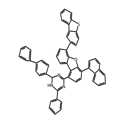 c1ccc(C2=NC(c3ccc(-c4cccc5ccccc45)c4oc5c(-c6ccc7sc8ccccc8c7c6)cccc5c34)=NC(c3ccc(-c4ccccc4)cc3)N2)cc1